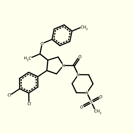 Cc1ccc(OC(C)C2CN(C(=O)N3CCN(S(C)(=O)=O)CC3)CC2c2ccc(Cl)c(Cl)c2)cc1